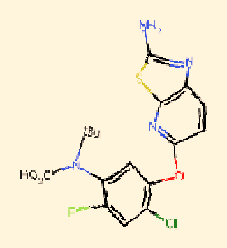 CC(C)(C)N(C(=O)O)c1cc(Oc2ccc3nc(N)sc3n2)c(Cl)cc1F